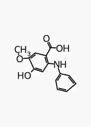 COc1cc(C(=O)O)c(Nc2ccccc2)cc1O